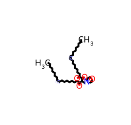 CCCCCCCC/C=C\CCCCCCCC(=O)C(=O)C(CN1CCOCC1)C(=O)CCCCCCC/C=C\CCCCCCCC